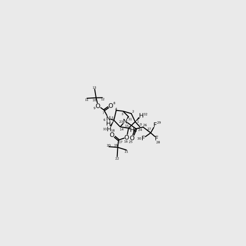 C[C@H]1CC2C[C@@H](NC(=O)OC(C)(C)C)C([C@H]1OC(=O)C(C)(C)C)N(C(=O)CC(F)(F)F)C2